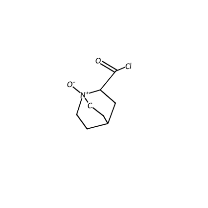 O=C(Cl)C1CC2CC[N+]1([O-])CC2